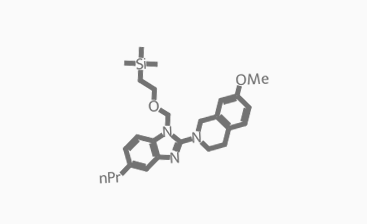 CCCc1ccc2c(c1)nc(N1CCc3ccc(OC)cc3C1)n2COCC[Si](C)(C)C